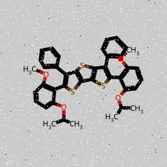 COc1cccc(OC(C)C)c1-c1sc2c(sc3c(-c4ccccc4)c(-c4c(OC)cccc4OC(C)C)sc32)c1-c1ccccc1